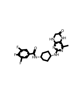 Cc1nc(N[C@H]2CC[C@@H](NC(=O)c3cc(F)c(F)c(F)c3)CC2)nc2c1NC(=O)CN2